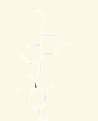 CNCCn1cc(F)cc(N2C[C@@H](c3c(F)cc(OC)cc3F)CC2=O)c1=O